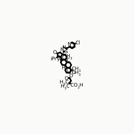 CC(C)C1=C2[C@H]3CC[C@@H]4C5(C)CCC(OC(=O)CC(C)(C)C(=O)O)C(C)(C)C5CCC4(C)[C@]3(C)CC[C@@]2(c2nnc(-c3ccc(Cl)cn3)s2)CC1=O